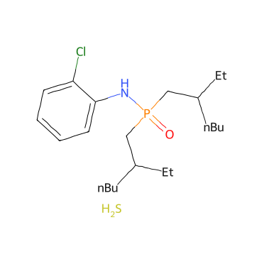 CCCCC(CC)CP(=O)(CC(CC)CCCC)Nc1ccccc1Cl.S